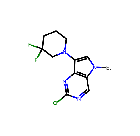 CCn1cc(N2CCCC(F)(F)C2)c2nc(Cl)ncc21